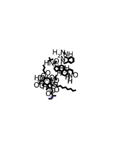 C/C=C(/C)C(=O)O[C@H]1C(C)=C2[C@H]([C@@H]1OC(=O)CCCCCCC)[C@@](C)(OC(C)=O)C[C@H](OC(=O)CCC)[C@@]1(O)[C@H]2OC(=O)[C@@]1(C)O.CC(C)(C)NC(=O)[C@H]1CC[C@H]2[C@@H]3CC[C@H]4NC(=O)C=C[C@]4(C)[C@H]3CC[C@]12C.NNc1nncc2ccccc12